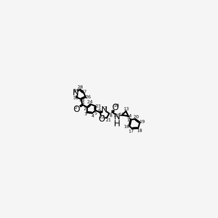 O=C(c1ccc(C2=N[C@H](C(=O)N[C@@H]3C[C@H]3c3ccccc3)CO2)cc1)c1cccnc1